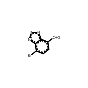 O=Cc1ccc(Br)c2nsnc12